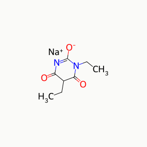 CCC1C(=O)N=C([O-])N(CC)C1=O.[Na+]